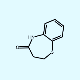 O=C1C[C]Sc2ccccc2N1